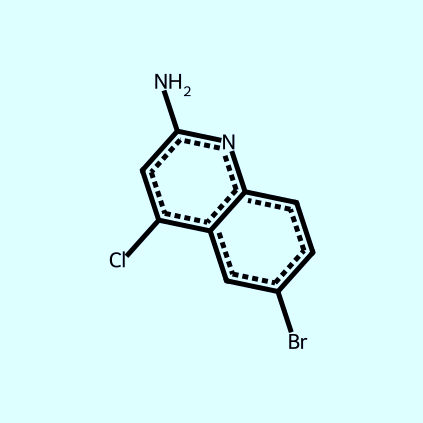 Nc1cc(Cl)c2cc(Br)ccc2n1